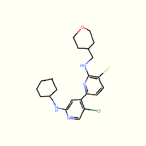 Fc1ccc(-c2cc(NC3CCCCC3)ncc2Cl)nc1NCC1CCOCC1